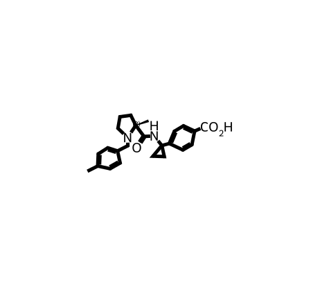 Cc1ccc(CN2CCC[C@]2(C)C(=O)NC2(c3ccc(C(=O)O)cc3)CC2)cc1